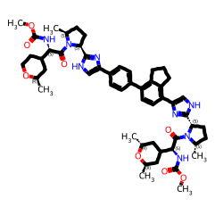 COC(=O)N[C@H](C(=O)N1[C@@H](C)CC[C@H]1c1nc(-c2ccc(-c3ccc(-c4c[nH]c([C@@H]5CC[C@H](C)N5C(=O)[C@@H](NC(=O)OC)C5C[C@@H](C)O[C@H](C)C5)n4)c4c3CCC4)cc2)c[nH]1)C1CCO[C@H](C)C1